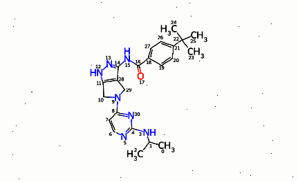 CC(C)Nc1nccc(N2Cc3[nH]nc(NC(=O)c4ccc(C(C)(C)C)cc4)c3C2)n1